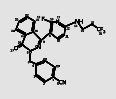 N#Cc1ccc(Cn2nc(-c3ccc(NCCC(F)(F)F)nc3F)c3ccccc3c2=O)cc1